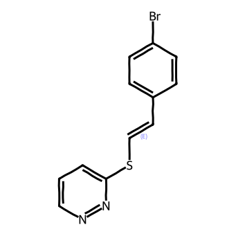 Brc1ccc(/C=C/Sc2cccnn2)cc1